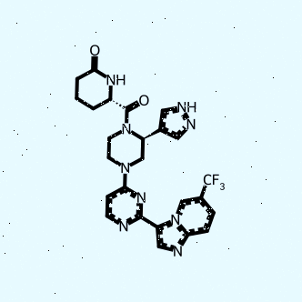 O=C1CCC[C@@H](C(=O)N2CCN(c3ccnc(-c4cnc5ccc(C(F)(F)F)cn45)n3)C[C@@H]2c2cn[nH]c2)N1